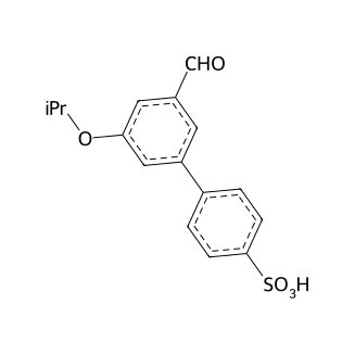 CC(C)Oc1cc(C=O)cc(-c2ccc(S(=O)(=O)O)cc2)c1